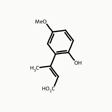 COc1ccc(O)c(C(C)=CC(=O)O)c1